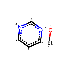 CC[O].c1cncnc1